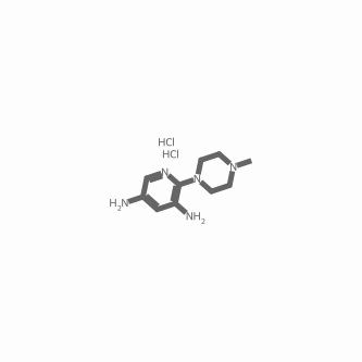 CN1CCN(c2ncc(N)cc2N)CC1.Cl.Cl